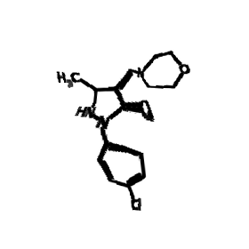 CC1NN(c2ccc(Cl)cc2)C(=O)C1=CN1CCOCC1